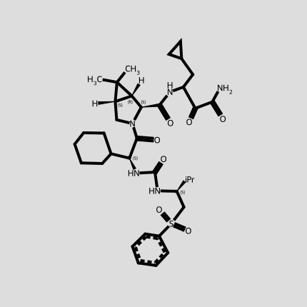 CC(C)[C@@H](CS(=O)(=O)c1ccccc1)NC(=O)N[C@H](C(=O)N1C[C@H]2[C@@H]([C@H]1C(=O)NC(CC1CC1)C(=O)C(N)=O)C2(C)C)C1CCCCC1